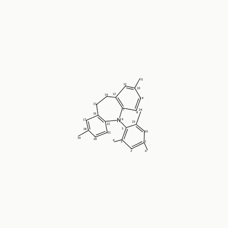 Cc1cc(C)c(N2c3ccc(C)cc3CCc3cc(C)ccc32)c(C)c1